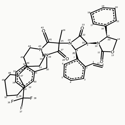 C=Cc1ccccc1[C@@H]1[C@H](N2C(=O)OC[C@@H]2c2ccccc2)C(=O)N1C(C)(C(=O)NCc1cccc(C(F)(F)F)c1)C(=O)N1CCC(N2CCCCC2)CC1